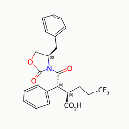 O=C(O)[C@H](CCC(F)(F)F)[C@@H](C(=O)N1C(=O)OC[C@H]1Cc1ccccc1)c1ccccc1